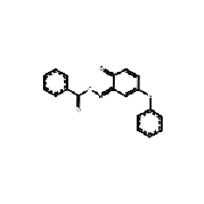 O=C1C=CC(Sc2ccccc2)=CC1=NOC(=O)c1ccccc1